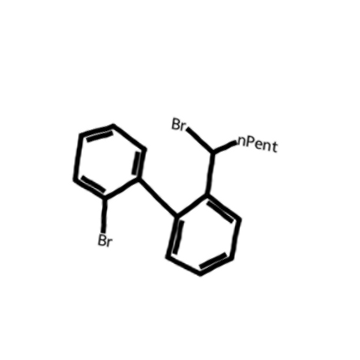 CCCCCC(Br)c1ccccc1-c1ccccc1Br